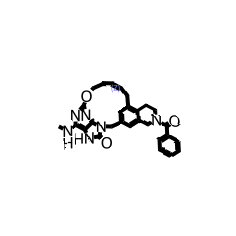 CNc1nc2nc3c1[nH]c(=O)n3Cc1cc(c3c(c1)CN(C(=O)c1ccccc1)CC3)C/C=C\CCO2